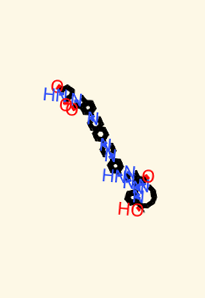 C[C@@]1(O)CC/C=C\Cn2c(=O)c3cnc(Nc4ccc(N5CCN(C6CCC7(CC6)CCN(c6ccc8c(c6)C(=O)N(C6CCC(=O)NC6=O)C8)CC7)CC5)cc4)nc3n2-c2cccc1n2